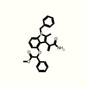 C=C(C(N)=O)c1c(C)n(Cc2ccccc2)c2cccc(OC(C(=O)OC)c3ccccc3)c12